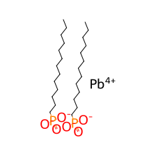 CCCCCCCCCCCCCP(=O)([O-])[O-].CCCCCCCCCCCCCP(=O)([O-])[O-].[Pb+4]